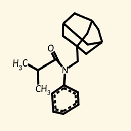 CC(C)C(=O)N(CC12CC3CC(CC(C3)C1)C2)c1ccccc1